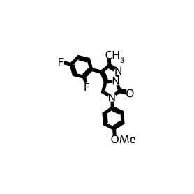 COc1ccc(N2Cc3c(-c4ccc(F)cc4F)c(C)nn3C2=O)cc1